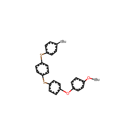 CC(C)(C)Oc1ccc(Oc2ccc(Sc3ccc(Sc4ccc(C(C)(C)C)cc4)cc3)cc2)cc1